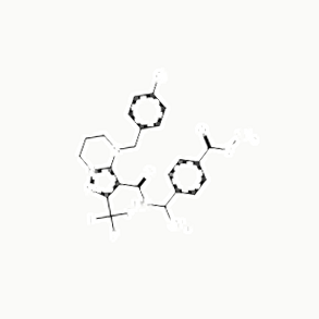 COC(=O)c1ccc(C(C)NC(=O)c2c(C(F)(F)F)nn3c2N(Cc2ccc(Cl)cc2)CCC3)cc1